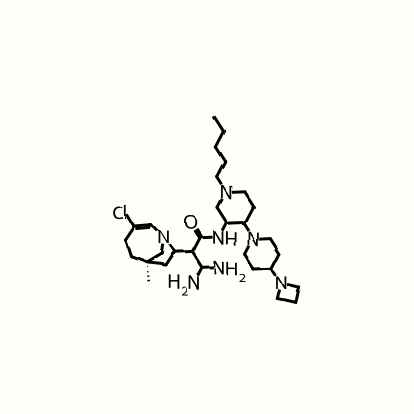 CCCCCN1CCC(N2CCC(N3CCC3)CC2)C(NC(=O)C(C(N)N)C2C[C@@]3(C)CCC(Cl)=CN2C3)C1